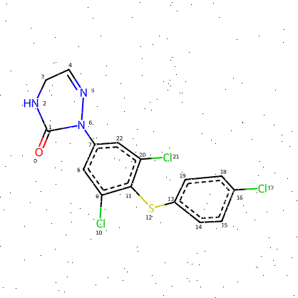 O=C1NCC=NN1c1cc(Cl)c(Sc2ccc(Cl)cc2)c(Cl)c1